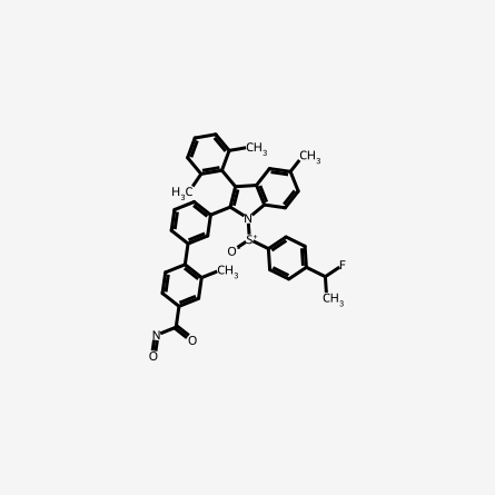 Cc1ccc2c(c1)c(-c1c(C)cccc1C)c(-c1cccc(-c3ccc(C(=O)N=O)cc3C)c1)n2[S+]([O-])c1ccc(C(C)F)cc1